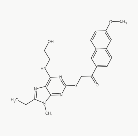 CCc1nc2c(NCCO)nc(SCC(=O)c3ccc4cc(OC)ccc4c3)nc2n1C